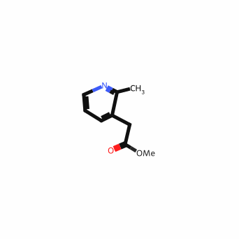 COC(=O)Cc1cccnc1C